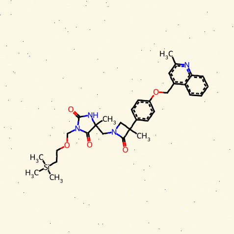 Cc1cc(COc2ccc(C3(C)CN(CC4(C)NC(=O)N(COCC[Si](C)(C)C)C4=O)C3=O)cc2)c2ccccc2n1